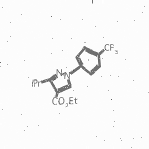 CCOC(=O)c1cn(-c2ccc(C(F)(F)F)cc2)nc1C(C)C